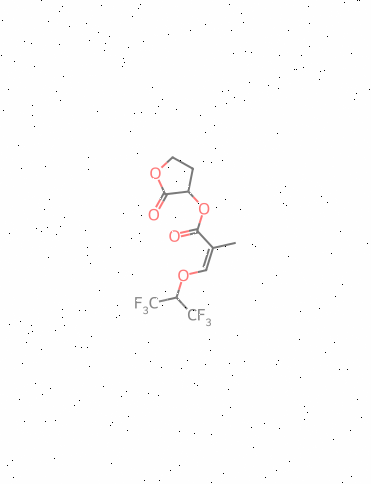 C/C(=C/OC(C(F)(F)F)C(F)(F)F)C(=O)OC1CCOC1=O